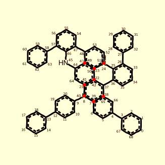 c1ccc(-c2ccc(N(c3ccc(-c4ccccc4)cc3)c3cc(Nc4c(-c5ccccc5)cccc4-c4ccccc4)cc(Nc4c(-c5ccccc5)cccc4-c4ccccc4)c3)cc2)cc1